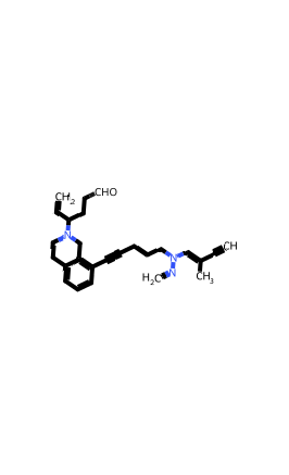 C#C/C(C)=C/N(CCCC#Cc1cccc2c1CN(C(C=C)CCC=O)CC2)N=C